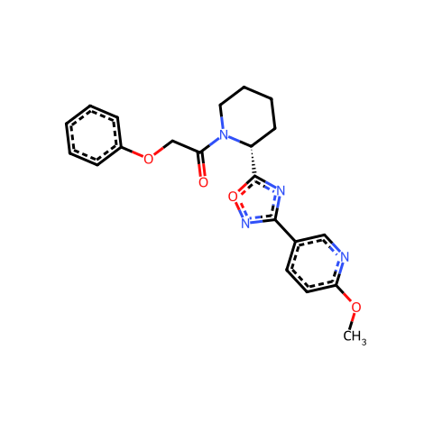 COc1ccc(-c2noc([C@H]3CCCCN3C(=O)COc3ccccc3)n2)cn1